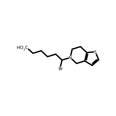 O=C(O)CCCCC(Br)N1CCc2sccc2C1